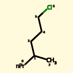 CCCC(C)CCCCl